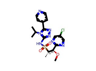 CO[C@H](c1ncc(Cl)cn1)[C@H](C)S(=O)(=O)Nc1nnc(-c2ccncc2)n1C(C)C